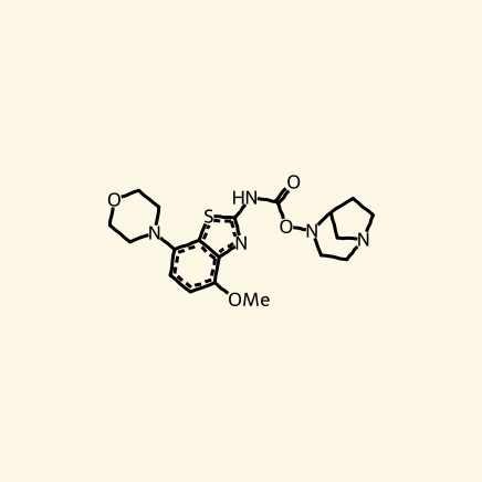 COc1ccc(N2CCOCC2)c2sc(NC(=O)ON3CCN4CCC3C4)nc12